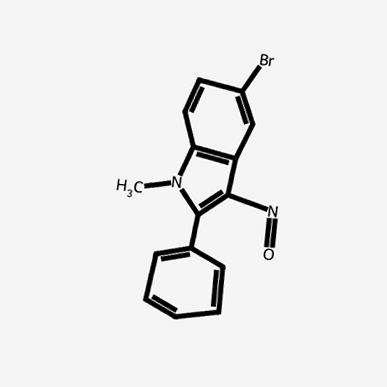 Cn1c(-c2ccccc2)c(N=O)c2cc(Br)ccc21